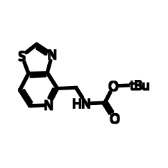 CC(C)(C)OC(=O)NCc1nccc2scnc12